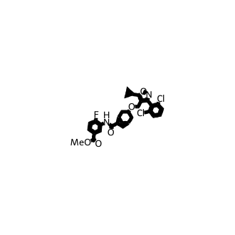 COC(=O)c1ccc(F)c(NC(=O)C2CC3CC(OCc4c(-c5c(Cl)cccc5Cl)noc4C4CC4)CC2C3)c1